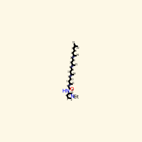 CCN1CCCC(NC(=O)/C=C(\C)CC/C=C(\C)CC/C=C(\C)CC/C=C(\C)CCC=C(C)C)C1